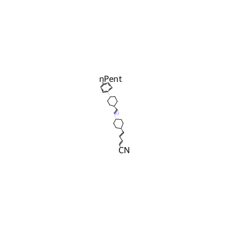 CCCCCc1ccc([C@H]2CC[C@H](/C=C/[C@H]3CC[C@H](C=CC=CC#N)CC3)CC2)cc1